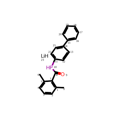 Cc1cccc(C)c1C(=O)Pc1ccc(-c2ccccc2)cc1.[LiH]